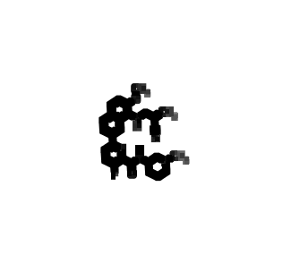 C=C(C#N)CNc1c(OC)ccc2ccc(-c3ccc(F)c(C(=O)NC4CCCN(C)C4)n3)cc12